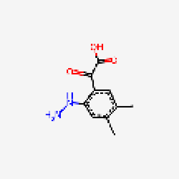 Cc1cc(NN)c(C(=O)C(=O)O)cc1C